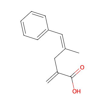 C=C(CC(C)=Cc1ccccc1)C(=O)O